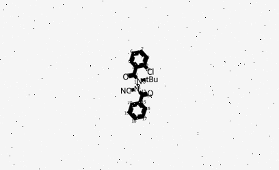 CC(C)(C)N(C(=O)c1ccccc1Cl)N(C#N)C(=O)c1ccccc1